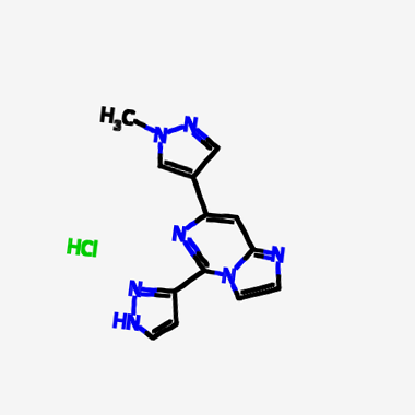 Cl.Cn1cc(-c2cc3nccn3c(-c3cc[nH]n3)n2)cn1